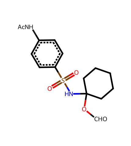 CC(=O)Nc1ccc(S(=O)(=O)NC2(OC=O)CCCCC2)cc1